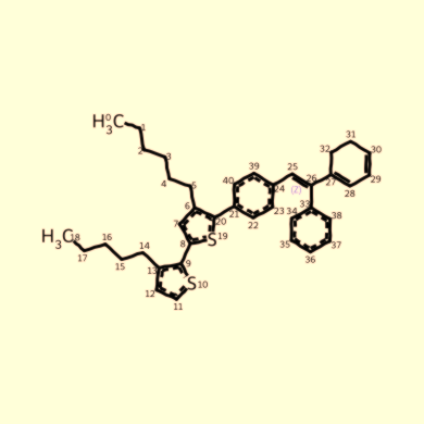 CCCCCCc1cc(-c2sccc2CCCCC)sc1-c1ccc(/C=C(/C2=CC=CCC2)c2ccccc2)cc1